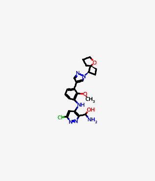 COc1c(Nc2cc(Cl)nnc2C(N)O)cccc1-c1cnn([C@@H]2CC[C@]23CCCO3)c1